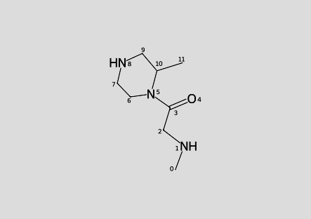 CNCC(=O)N1CCNCC1C